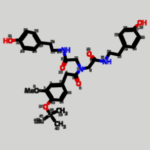 COc1cc(CC(=O)N(CC(=O)NCCc2ccc(O)cc2)CC(=O)NCCc2ccc(O)cc2)ccc1O[Si](C)(C)C(C)(C)C